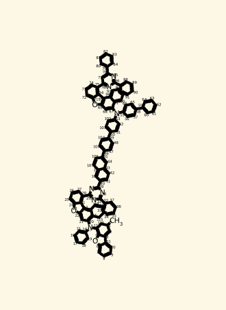 CC1C=c2c(oc3ccccc23)=C(N(c2ccccc2)c2cc3oc4cccc(-c5nc(-c6ccccc6)nc(-c6ccc7cc(-c8ccc(-c9ccc(N(c%10ccc(-c%11ccccc%11)cc%10)c%10cc%11oc%12cccc(-c%13cc(-c%14ccccc%14)nc(-c%14ccccc%14)n%13)c%12c%11c%11ccccc%10%11)cc9)cc8)ccc7c6)n5)c4c3c3c2CCC=C3)C1